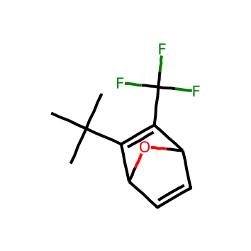 CC(C)(C)C1=C(C(F)(F)F)C2C=CC1O2